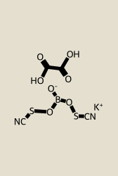 N#CSOB([O-])OSC#N.O=C(O)C(=O)O.[K+]